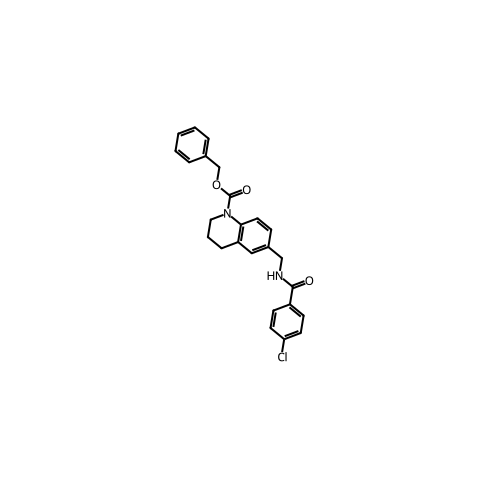 O=C(NCc1ccc2c(c1)CCCN2C(=O)OCc1ccccc1)c1ccc(Cl)cc1